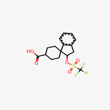 O=C(O)C1CCC2(CC1)c1ccccc1CC2OS(=O)(=O)C(F)(F)F